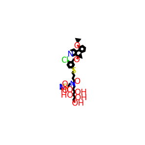 CN(C)S(=O)(=O)CCN(CC(O)C(O)C(O)C(O)CO)C(=O)CCCSc1ccc(Cl)c(COC2(c3cnccc3-c3ccccc3OC3CC3)CC2)c1